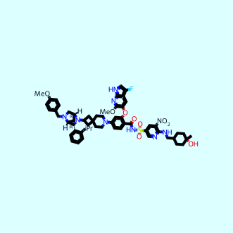 COc1ccc(CN2C[C@H]3C[C@@H]2[C@@H](c2ccccc2C(C)C)N3C2CC3(CCN(c4ccc(C(=O)NS(=O)(=O)c5cnc(NCC6CCC(C)(O)CC6)c([N+](=O)[O-])c5)c(Oc5cc6c(F)c[nH]c6nc5OC)c4)CC3)C2)cc1